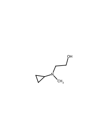 CN(CCO)C1CC1